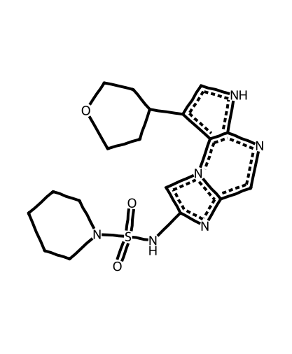 O=S(=O)(Nc1cn2c(cnc3[nH]cc(C4CCOCC4)c32)n1)N1CCCCC1